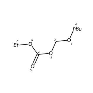 CCCCOCOC(=O)OCC